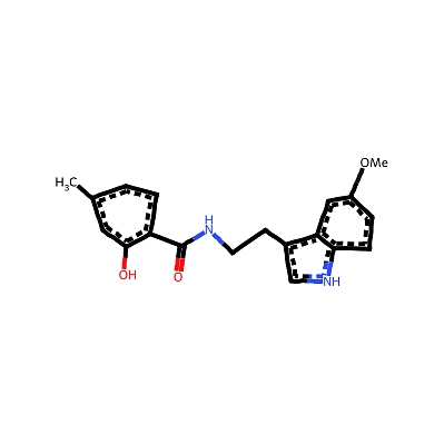 COc1ccc2[nH]cc(CCNC(=O)c3ccc(C)cc3O)c2c1